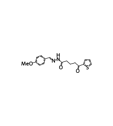 COc1ccc(C=NNC(=O)CCCC(=O)c2cccs2)cc1